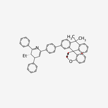 CC[C@@H]1C(c2ccccc2)=NC(c2ccc(-c3ccc4c(c3)C3(c5ccccc5Oc5ccccc53)c3ccccc3C4(C)C)cc2)=CC1c1ccccc1